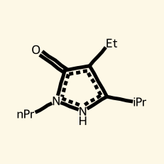 CCCn1[nH]c(C(C)C)c(CC)c1=O